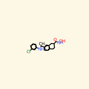 CC(Nc1cccc(Cl)c1)c1ccc2c(c1)CC(C(=O)NO)CC2